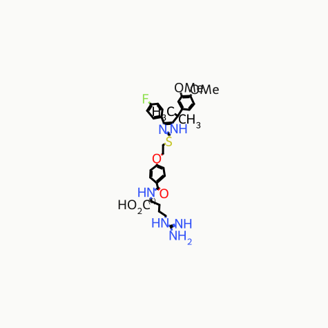 COc1ccc(C(C)(C)c2[nH]c(SCCOc3ccc(C(=O)N[C@@H](CCCNC(=N)N)C(=O)O)cc3)nc2-c2ccc(F)cc2)cc1OC